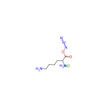 Cl.[N-]=[N+]=NOC(=O)C(N)CCCCN